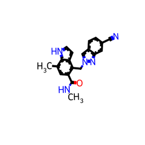 CNC(=O)c1cc(C)c2[nH]ccc2c1Cn1cc2ccc(C#N)cc2n1